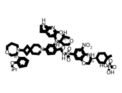 CC(C)Oc1ccccc1[C@@H]1COCCCN1C1CC2(CCN(c3ccc(C(=O)NS(=O)(=O)c4cc5c(c([N+](=O)[O-])c4)N[C@@H](C4CCC(C)(OP(=O)(O)O)CC4)CO5)c(N4c5cc6cc[nH]c6nc5O[C@H]5COCC[C@@H]54)c3)CC2)C1